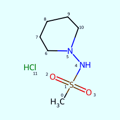 CS(=O)(=O)NN1CCCCC1.Cl